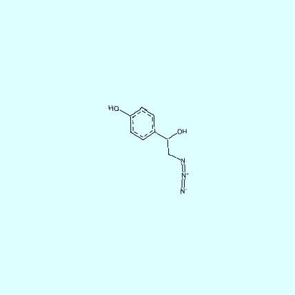 [N-]=[N+]=NCC(O)c1ccc(O)cc1